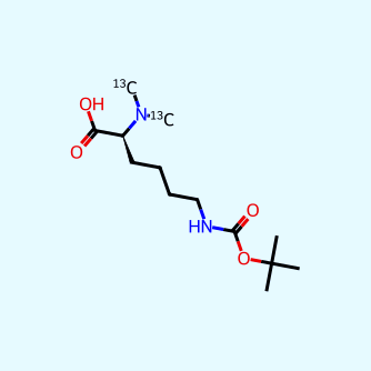 CC(C)(C)OC(=O)NCCCC[C@@H](C(=O)O)N([13CH3])[13CH3]